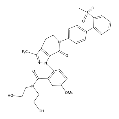 COc1ccc(-n2nc(C(F)(F)F)c3c2C(=O)N(c2ccc(-c4ccccc4S(C)(=O)=O)cc2)CC3)c(C(=O)N(CCO)CCO)c1